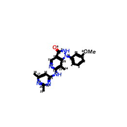 COc1cccc(-n2[nH]c(=O)c3cnc(Nc4cc(C)nc(C)n4)c(C)c32)c1